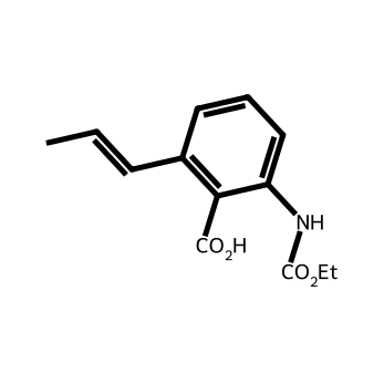 CC=Cc1cccc(NC(=O)OCC)c1C(=O)O